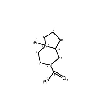 CC(C)C(=O)N1CC[N+]2(C(C)C)CCCC2C1